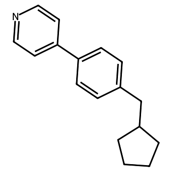 c1cc(-c2ccc(CC3CCCC3)cc2)ccn1